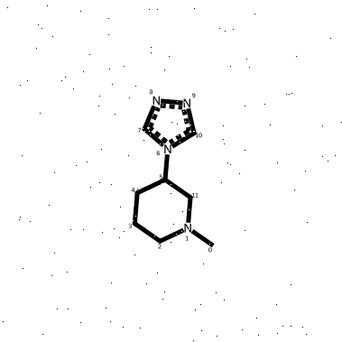 CN1CCCC(n2cnnc2)C1